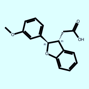 COc1cccc([C@@H]2Oc3ccccc3[C@H]2CC(=O)O)c1